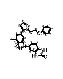 O=c1[nH]c2ccc(-n3nnc4c(F)cc(-c5ccnn5CCOc5ccccc5)cc43)cc2[nH]1